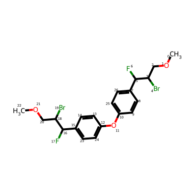 COCC(Br)C(F)c1ccc(Oc2ccc(C(F)C(Br)COC)cc2)cc1